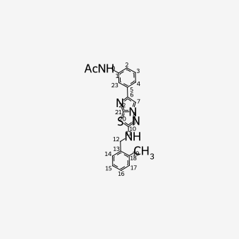 CC(=O)Nc1cccc(-c2cn3nc(NCc4ccccc4C)sc3n2)c1